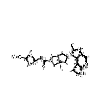 COc1nsc(NC(=O)N2CC3C[C@H](n4c(C)nc5cnc6[nH]ccc6c54)C[C@H]3C2)n1